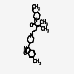 C=CC1CCCN(C(=O)C(CCN2CCC(c3noc4cc(C)ccc34)CC2)=C(C)C)C1